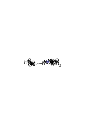 Nc1ncnc2c1c(-c1ccc(Oc3ccccc3)cc1)nn2[C@@H]1CCCN(C(=O)/C=C/CN2CCN(CCCCCCCCCCCSc3cccc4c3C(=O)N(C3CCC(=O)NC3=O)C4=O)CC2)C1